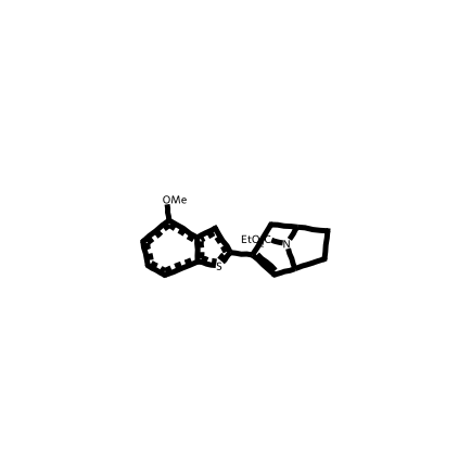 CCOC(=O)N1C2C=C(c3cc4c(OC)cccc4s3)CC1CC2